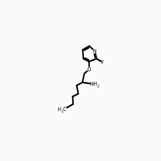 CCCCCC(N)COc1cccnc1F